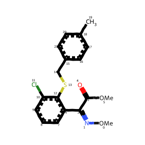 CO/N=C(\C(=O)OC)c1cccc(Cl)c1SCc1ccc(C)cc1